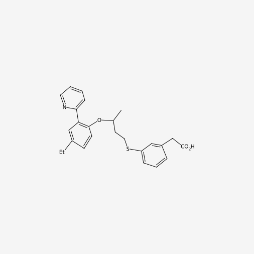 CCc1ccc(OC(C)CCSc2cccc(CC(=O)O)c2)c(-c2ccccn2)c1